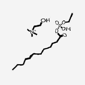 CCCCCCCCCCCC(=O)OP(=O)(O)OCC.C[N+](C)(C)CCO